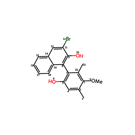 COc1c(C)cc(O)c(-c2c(O)c(Br)cc3ccccc23)c1C